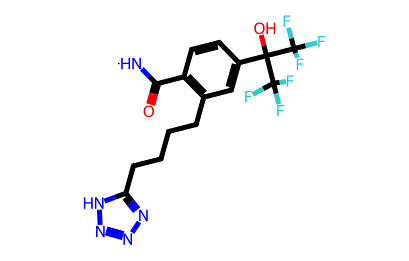 [NH]C(=O)c1ccc(C(O)(C(F)(F)F)C(F)(F)F)cc1CCCCc1nnn[nH]1